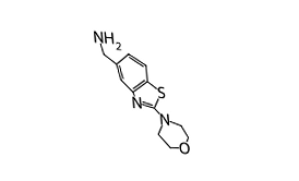 NCc1ccc2sc(N3CCOCC3)nc2c1